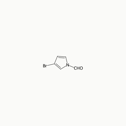 O=Cn1ccc(Br)c1